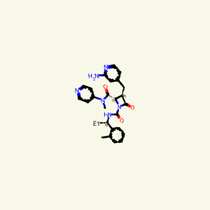 CC[C@@H](NC(=O)N1C(=O)[C@H](Cc2ccnc(N)c2)[C@H]1C(=O)N(C)c1ccncc1)c1ccccc1C